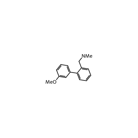 CNCc1ccccc1-c1cccc(OC)c1